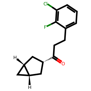 O=C(CCc1cccc(Cl)c1F)[C@@H]1C[C@@H]2C[C@@H]2C1